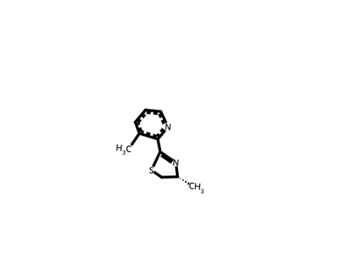 Cc1cccnc1C1=N[C@H](C)CS1